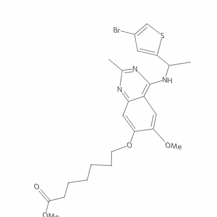 COC(=O)CCCCCCOc1cc2nc(C)nc(NC(C)c3cc(Br)cs3)c2cc1OC